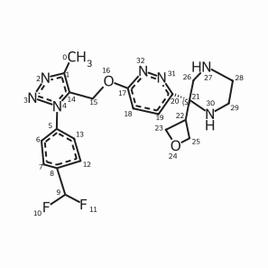 Cc1nnn(-c2ccc(C(F)F)cc2)c1COc1ccc([C@]2(C3COC3)CNCCN2)nn1